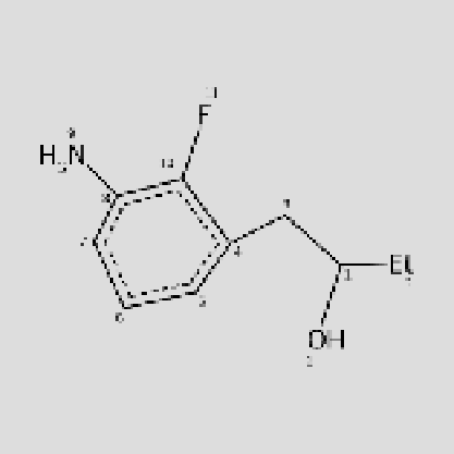 CCC(O)Cc1cccc(N)c1F